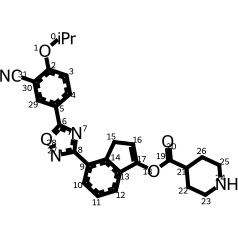 CC(C)Oc1ccc(-c2nc(-c3cccc4c3CC=C4OC(=O)C3CCNCC3)no2)cc1C#N